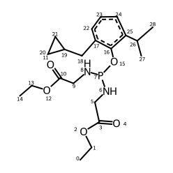 CCOC(=O)CNP(NCC(=O)OCC)Oc1c(CC2CC2)cccc1C(C)C